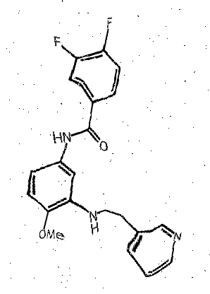 COc1ccc(NC(=O)c2ccc(F)c(F)c2)cc1NCc1cccnc1